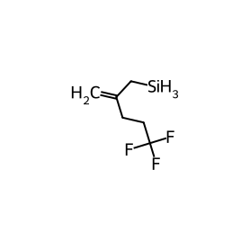 C=C(C[SiH3])CCC(F)(F)F